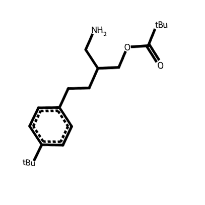 CC(C)(C)C(=O)OCC(CN)CCc1ccc(C(C)(C)C)cc1